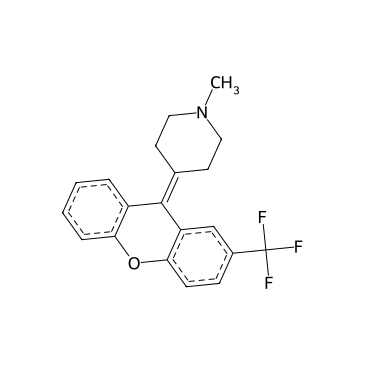 CN1CCC(=C2c3ccccc3Oc3ccc(C(F)(F)F)cc32)CC1